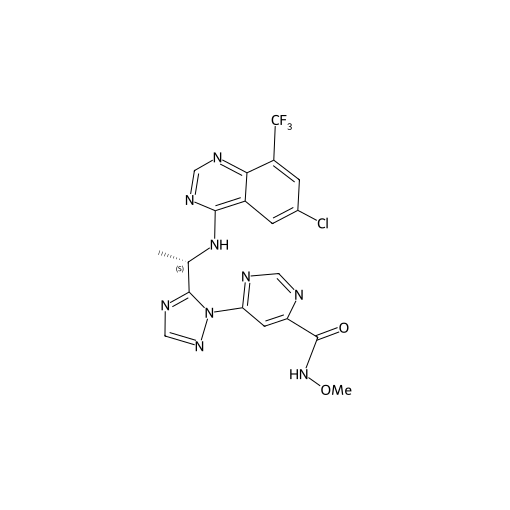 CONC(=O)c1cc(-n2ncnc2[C@H](C)Nc2ncnc3c(C(F)(F)F)cc(Cl)cc23)ncn1